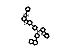 c1ccc(-c2nc3c(ccc4oc5cc(-c6ccc(N(c7ccc(-c8cccc9ccccc89)cc7)c7cccc8c7sc7ccccc78)cc6)ccc5c43)s2)cc1